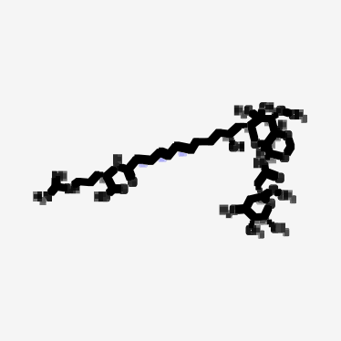 C=C1C[C@@](CC(=O)N[C@H]2OCO[C@H]3[C@@H]2O[C@H](C[C@H](O)CCC/C=C/C=C/C=C/C(=O)N[C@@H](CCCNC(=N)N)C(=O)O)C(C)(C)[C@@H]3OC)(OC)O[C@H](C)[C@@H]1C